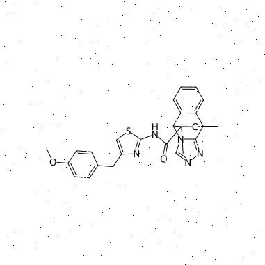 COc1ccc(Cc2csc(NC(=O)C3(C)CC4(C)c5ccccc5C3n3cnnc34)n2)cc1